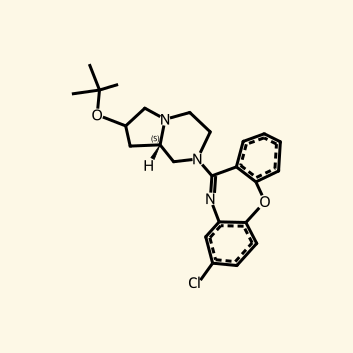 CC(C)(C)OC1C[C@H]2CN(C3=Nc4cc(Cl)ccc4Oc4ccccc43)CCN2C1